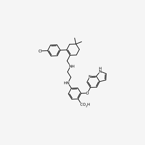 CC1(C)CCC(CNCCNc2ccc(C(=O)O)c(Oc3cnc4[nH]ccc4c3)c2)=C(c2ccc(Cl)cc2)C1